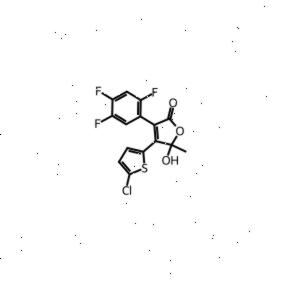 CC1(O)OC(=O)C(c2cc(F)c(F)cc2F)=C1c1ccc(Cl)s1